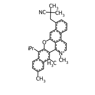 Cc1ccc2c(C(C)C)c3c(c(C)c2c1)-c1c2c(cc4c(CC(C)(C)C#N)cccc4c2cc[n+]1C)O3